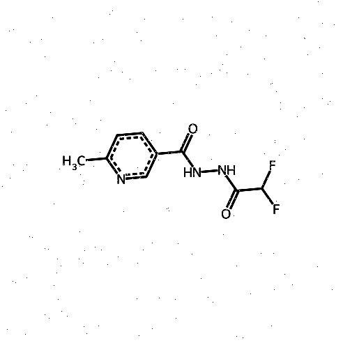 Cc1ccc(C(=O)NNC(=O)C(F)F)cn1